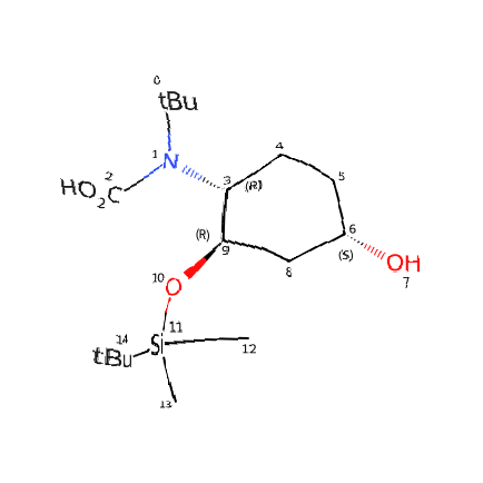 CC(C)(C)N(C(=O)O)[C@@H]1CC[C@H](O)C[C@H]1O[Si](C)(C)C(C)(C)C